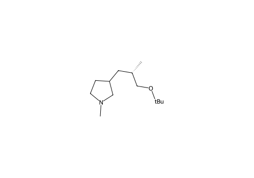 C[C@H](COC(C)(C)C)CC1CCN(C)C1